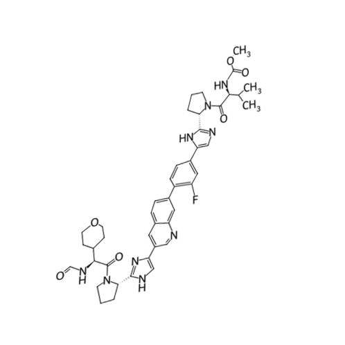 COC(=O)N[C@H](C(=O)N1CCC[C@H]1c1ncc(-c2ccc(-c3ccc4cc(-c5c[nH]c([C@@H]6CCCN6C(=O)[C@@H](NC=O)C6CCOCC6)n5)cnc4c3)c(F)c2)[nH]1)C(C)C